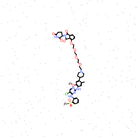 Cc1cc(Nc2ncc(Cl)c(Nc3ccccc3S(=O)(=O)C(C)C)n2)c(OC(C)C)cc1C1CCN(CCOCCOCCOCCOc2cccc3c2C(=O)N(C2CCC(=O)NC2=O)C3=O)CC1